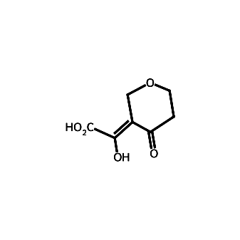 O=C(O)C(O)=C1COCCC1=O